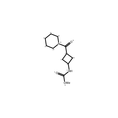 COC(=O)NC1CC(C(=O)N2CCCCC2)C1